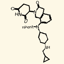 CCCCCN(c1cccc2c1CN(C1CCC(=O)NC1=O)C(=O)C2)[C@H]1CC[C@H](NCC2CC2)CC1